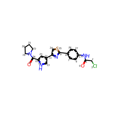 O=C(CCl)Nc1ccc(-c2nc(-c3c[nH]c(C(=O)N4CCCC4)c3)cs2)cc1